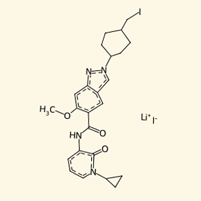 COc1cc2nn(C3CCC(CI)CC3)cc2cc1C(=O)Nc1cccn(C2CC2)c1=O.[I-].[Li+]